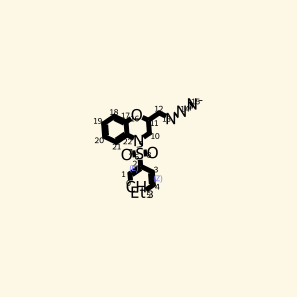 C/C=C(\C=C/CC)S(=O)(=O)N1CC(CN=[N+]=[N-])Oc2ccccc21